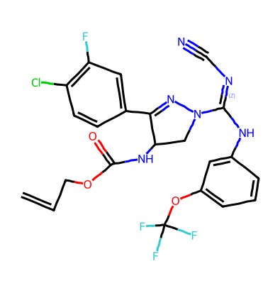 C=CCOC(=O)NC1CN(/C(=N\C#N)Nc2cccc(OC(F)(F)F)c2)N=C1c1ccc(Cl)c(F)c1